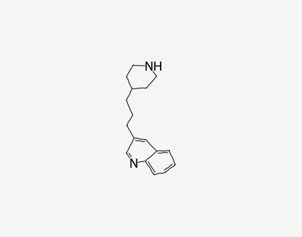 c1ccc2ncc(CCCC3CCNCC3)cc2c1